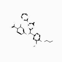 CCOc1cc(C(NC2=CC(C)C(C(=N)N)C=C2)c2nn(-c3ncccn3)c(=O)[nH]2)ccc1OCCF